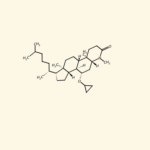 CC(C)CCC[C@@H](C)[C@H]1CC[C@H]2[C@@H]3[C@@H](OC4CC4)C[C@H]4N(C)C(=O)CC[C@]4(C)[C@H]3CC[C@]12C